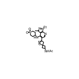 CCn1nc(C)c2c(NC3CCS(=O)(=O)CC3)c(C3=NOC4(C3)CC(NC(C)=O)C4)cnc21